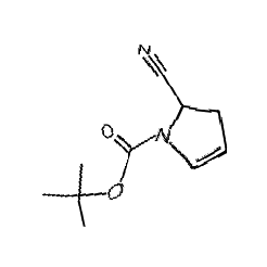 CC(C)(C)OC(=O)N1C=CCC1C#N